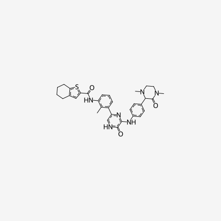 Cc1c(NC(=O)c2cc3c(s2)CCCC3)cccc1-c1c[nH]c(=O)c(Nc2ccc(C3C(=O)N(C)CCN3C)cc2)n1